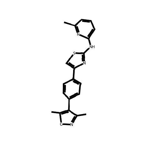 Cc1cccc(Nc2nc(-c3ccc(-c4c(C)noc4C)cc3)cs2)n1